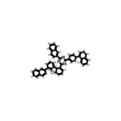 C1=CC2Oc3c(-c4ccc5ccccc5c4)cccc3C2C(c2nc(C3=CCC(C4=CCCc5ccccc54)C=C3)nc(-c3ccc4ccccc4c3)n2)=C1